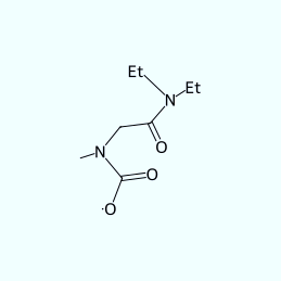 CCN(CC)C(=O)CN(C)C([O])=O